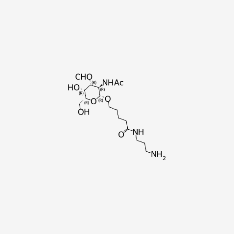 CC(=O)N[C@H]1[C@H](OCCCCC(=O)NCCCN)O[C@H](CO)[C@H](O)[C@@H]1C=O